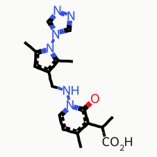 Cc1ccn(NCc2cc(C)n(-n3cnnc3)c2C)c(=O)c1C(C)C(=O)O